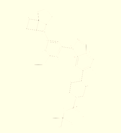 COc1nc(N2C3CCC34COCC24)cc(-n2ncc3cc(C)c(C4CCN(C(=O)OC(C)(C)C)CC4)cc32)n1